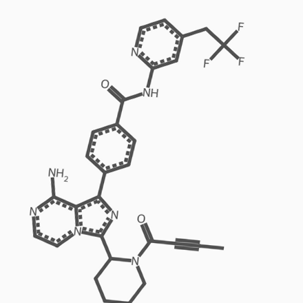 CC#CC(=O)N1CCCCC1c1nc(-c2ccc(C(=O)Nc3cc(CC(F)(F)F)ccn3)cc2)c2c(N)nccn12